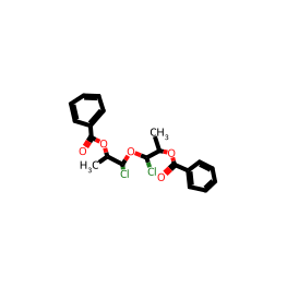 CC(OC(=O)c1ccccc1)C(Cl)OC(Cl)C(C)OC(=O)c1ccccc1